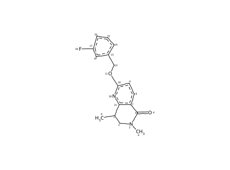 CC1CN(C)C(=O)c2ccc(OCc3cccc(F)c3)nc21